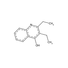 CCc1nc2ccccc2c(O)c1CC